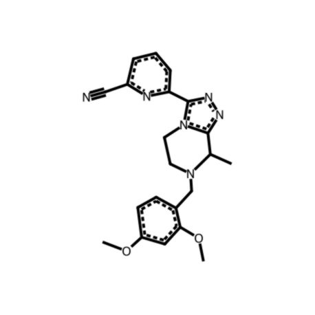 COc1ccc(CN2CCn3c(-c4cccc(C#N)n4)nnc3C2C)c(OC)c1